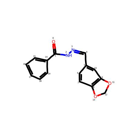 O=C(N/N=C\c1ccc2c(c1)OCO2)c1ccccc1